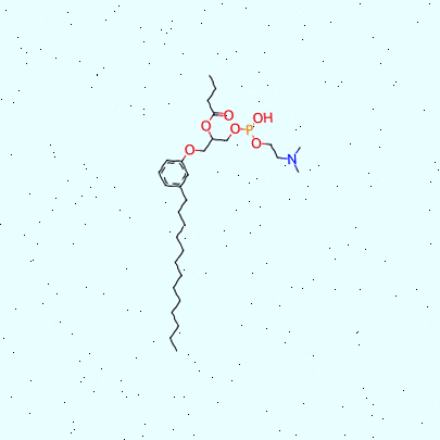 CCCCCCCCCCCCCc1cccc(OCC(COP(O)OCCN(C)C)OC(=O)CCC)c1